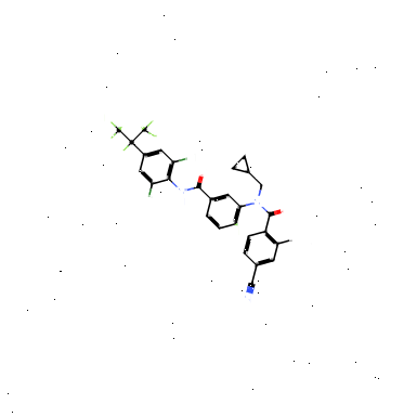 Cc1cc(C#N)ccc1C(=O)N(CC1CC1)c1cc(C(=O)Nc2c(Cl)cc(C(F)(C(F)(F)F)C(F)(F)F)cc2Cl)ccc1F